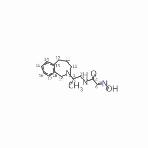 C[C@@H](CNC(=O)/C=N/O)N1CCCc2ccccc2C1